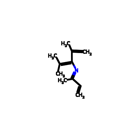 C=C/C(C)=N/C(C(=C)C)=C(C)C